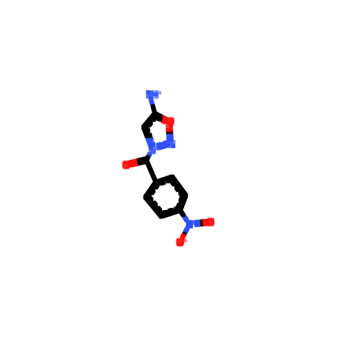 [NH-]c1c[n+](C(=O)c2ccc([N+](=O)[O-])cc2)no1